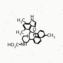 Cc1ccc(S(=O)(=O)C(c2c(C)cc(C)c3[nH]ccc23)N2CCC(NC(=O)O)CC2c2ccccc2)cc1